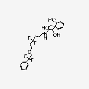 OCC1(C(O)CNCCCC(F)(F)CCOCC(F)(F)c2ccccc2)C=CC=CC1O